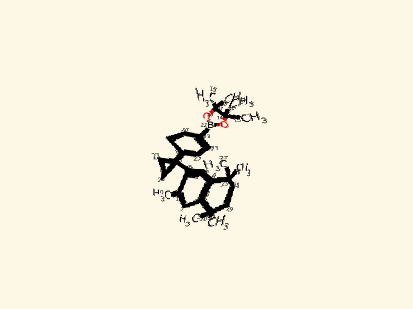 Cc1cc2c(cc1C1(c3ccc(B4OC(C)(C)C(C)(C)O4)cc3)CC1)C(C)(C)C=CC2(C)C